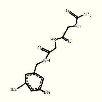 CC(C)(C)c1cc(CNC(=O)CNC(=O)CNC(N)=O)cc(C(C)(C)C)c1